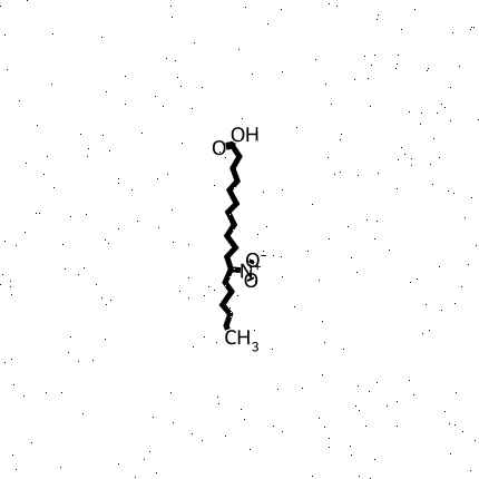 CCCCCCC(CCCCCCCCCCC(=O)O)[N+](=O)[O-]